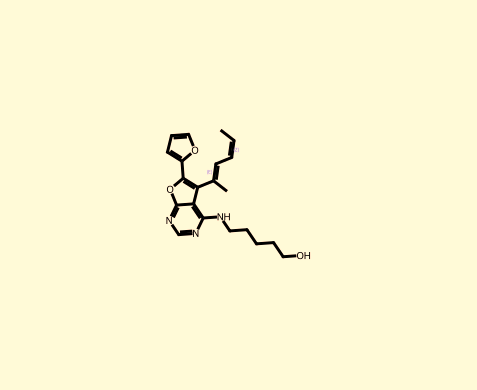 C/C=C\C=C(/C)c1c(-c2ccco2)oc2ncnc(NCCCCCO)c12